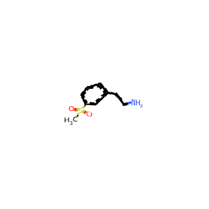 CS(=O)(=O)c1cccc(CCN)c1